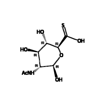 CC(=O)N[C@@H]1[C@@H](O)[C@H](O)[C@@H](C(O)=S)O[C@H]1O